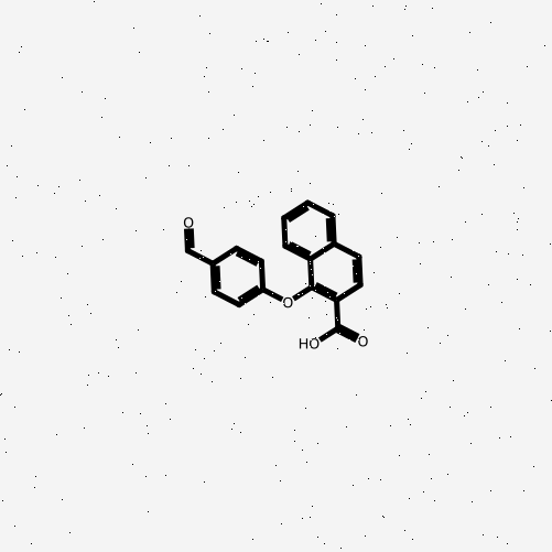 O=Cc1ccc(Oc2c(C(=O)O)ccc3ccccc23)cc1